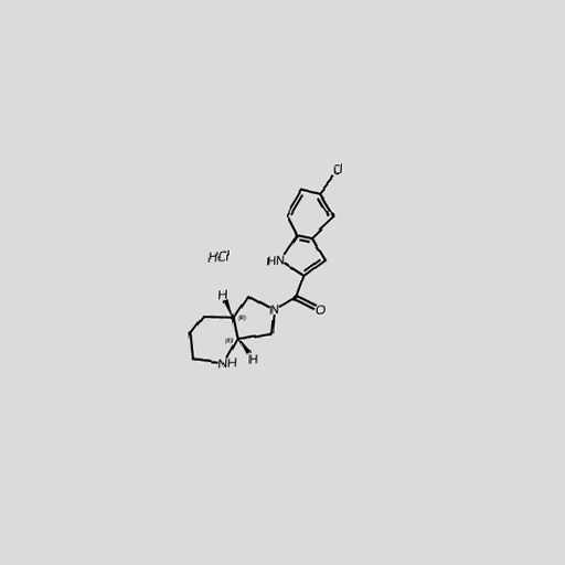 Cl.O=C(c1cc2cc(Cl)ccc2[nH]1)N1C[C@H]2CCCN[C@H]2C1